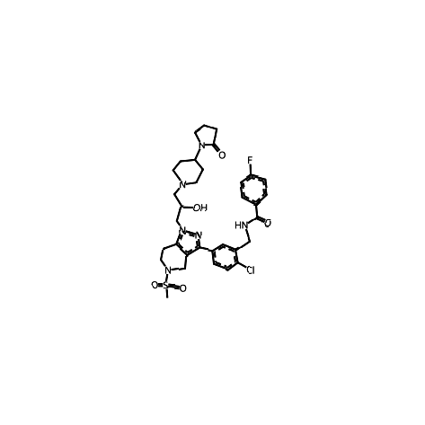 CS(=O)(=O)N1CCc2c(c(-c3ccc(Cl)c(CNC(=O)c4ccc(F)cc4)c3)nn2CC(O)CN2CCC(N3CCCC3=O)CC2)C1